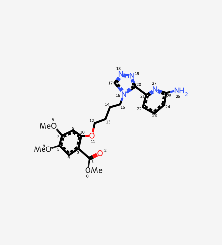 COC(=O)c1cc(OC)c(OC)cc1OCCCCn1cnnc1-c1cccc(N)n1